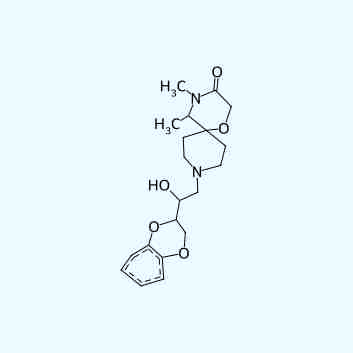 CC1N(C)C(=O)COC12CCN(CC(O)C1COc3ccccc3O1)CC2